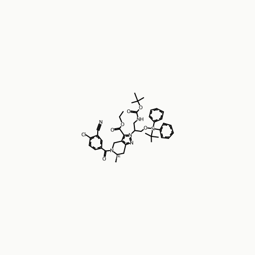 CCOC(=O)c1c2c(nn1C(CNC(=O)OC(C)(C)C)CO[Si](c1ccccc1)(c1ccccc1)C(C)(C)C)C[C@@H](C)N(C(=O)c1ccc(Cl)c(C#N)c1)C2